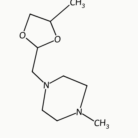 CC1COC(CN2CCN(C)CC2)O1